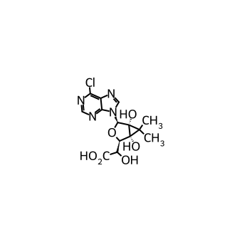 CC1(C)[C@]2(O)[C@H](n3cnc4c(Cl)ncnc43)O[C@H](C(O)C(=O)O)[C@]12O